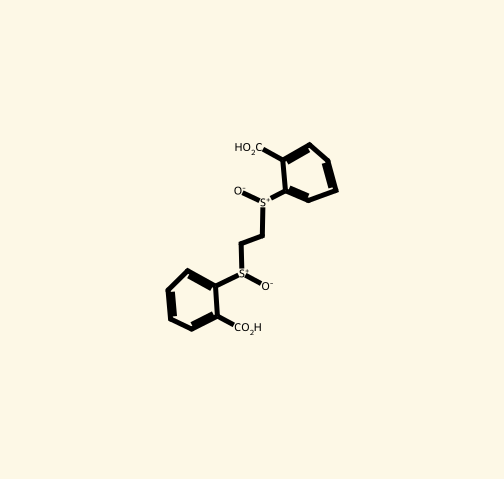 O=C(O)c1ccccc1[S+]([O-])CC[S+]([O-])c1ccccc1C(=O)O